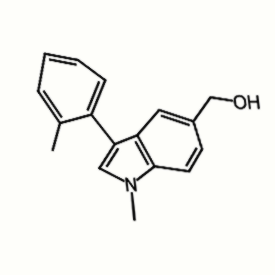 Cc1ccccc1-c1cn(C)c2ccc(CO)cc12